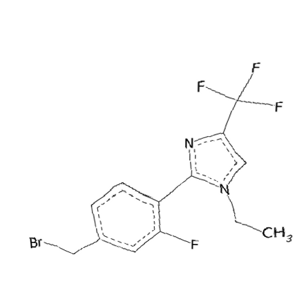 CCn1cc(C(F)(F)F)nc1-c1ccc(CBr)cc1F